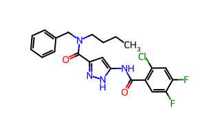 CCCCN(Cc1ccccc1)C(=O)c1cc(NC(=O)c2cc(F)c(F)cc2Cl)[nH]n1